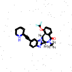 [2H]C([2H])([2H])N1C(=O)c2cccc(OC(F)F)c2[C@H]2C[C@@H]1c1nc3ccc(C#CC4CCCCN4)cc3n12